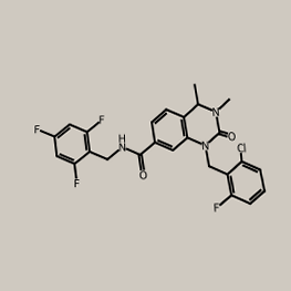 CC1c2ccc(C(=O)NCc3c(F)cc(F)cc3F)cc2N(Cc2c(F)cccc2Cl)C(=O)N1C